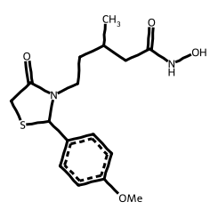 COc1ccc(C2SCC(=O)N2CCC(C)CC(=O)NO)cc1